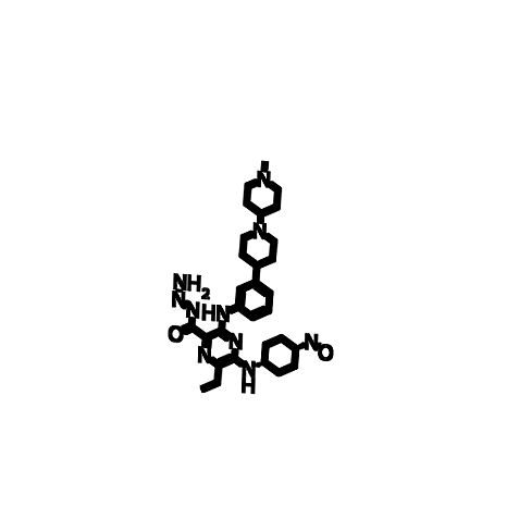 CCc1nc(C(=O)N=NN)c(Nc2cccc(C3CCN(C4CCN(C)CC4)CC3)c2)nc1N[C@H]1CC[C@H](N=O)CC1